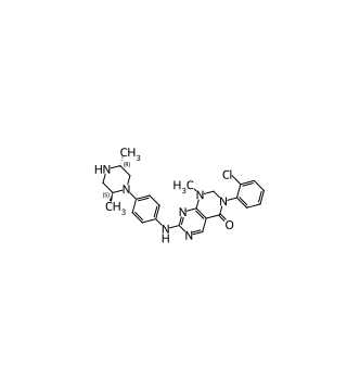 C[C@@H]1CN(c2ccc(Nc3ncc4c(n3)N(C)CN(c3ccccc3Cl)C4=O)cc2)[C@@H](C)CN1